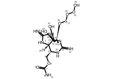 N=C1N[C@H]2[C@H](COC(N)=O)NC(=N)N3C[C@H](OSOOO)C(O)(O)C23N1